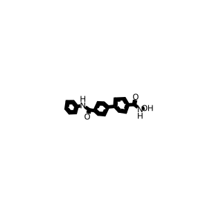 O=C(NO)c1ccc(-c2ccc(C(=O)Nc3ccccc3)cc2)cc1